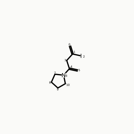 C=C(I)CC(=C)N1CCCC1